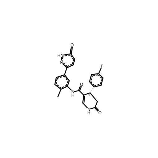 Cc1ccc(-c2ccc(=O)[nH]n2)cc1NC(=O)C1=CNC(=O)C[C@H]1c1ccc(F)cc1